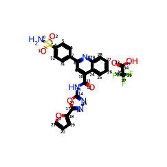 NS(=O)(=O)c1ccc(-c2cc(C(=O)Nc3nnc(-c4ccco4)o3)c3ccccc3n2)cc1.O=C(O)C(F)(F)F